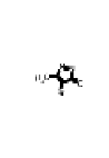 CC1=C(Br)C(=O)N=N1